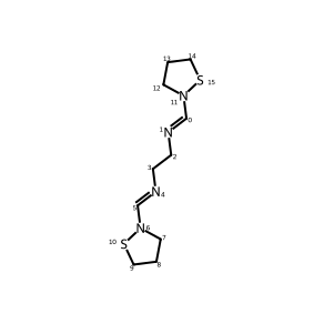 C(=NCCN=CN1CCCS1)N1CCCS1